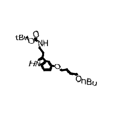 CCCCOCCCCOc1ccc2[nH]cc(CCNC(=O)OC(C)(C)C)c2c1